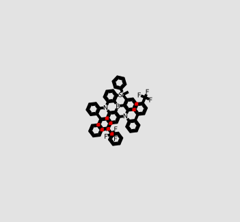 C[Si]1(c2ccccc2)c2cccc3c2B2c4c(cc(N(c5ccccc5)c5ccccc5)cc4N(c4ccccc4-c4ccc(C(F)(F)F)cc4)c4cccc1c42)N3c1ccccc1-c1ccc(C(F)(F)F)cc1